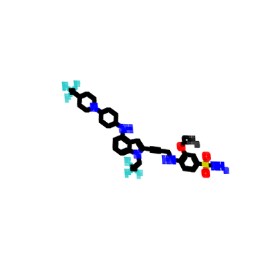 COc1cc(S(N)(=O)=O)ccc1NCC#Cc1cc2c(NC3CCC(N4CCC(C(F)(F)F)CC4)CC3)cccc2n1CC(F)(F)F